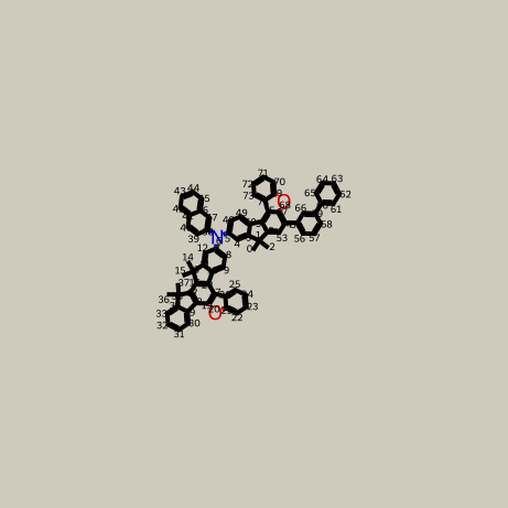 CC1(C)c2cc(N(c3ccc4c(c3)C(C)(C)c3c5c(c6oc7ccccc7c6c3-4)-c3ccccc3C5(C)C)c3ccc4ccccc4c3)ccc2-c2c1cc(-c1cccc(-c3ccccc3)c1)c1oc3ccccc3c21